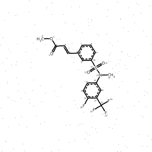 COC(=O)/C=C/c1cccc(S(=O)(=O)N(C)c2ccc(F)c(C(F)(F)F)c2)c1